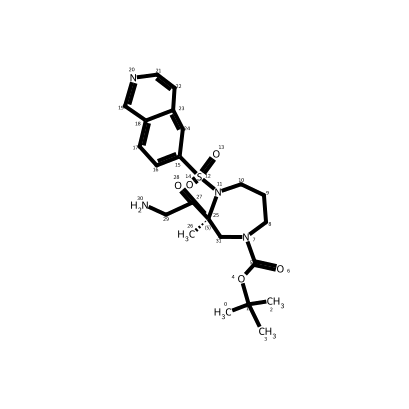 CC(C)(C)OC(=O)N1CCCN(S(=O)(=O)c2ccc3cnccc3c2)[C@](C)(C(=O)CN)C1